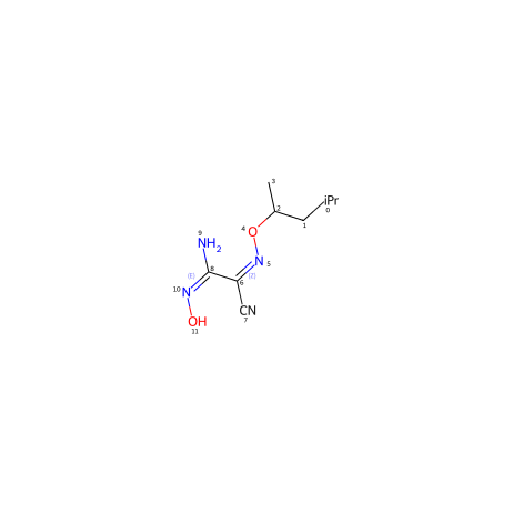 CC(C)CC(C)O/N=C(C#N)\C(N)=N/O